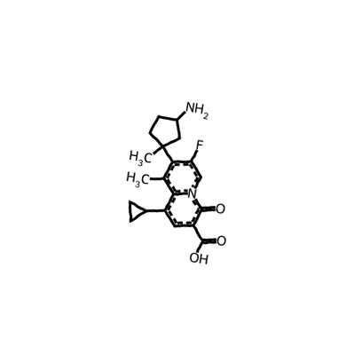 Cc1c(C2(C)CCC(N)C2)c(F)cn2c(=O)c(C(=O)O)cc(C3CC3)c12